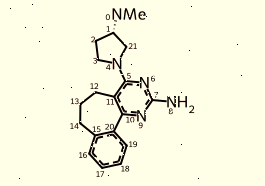 CN[C@H]1CCN(c2nc(N)nc3c2CCCc2ccccc2-3)C1